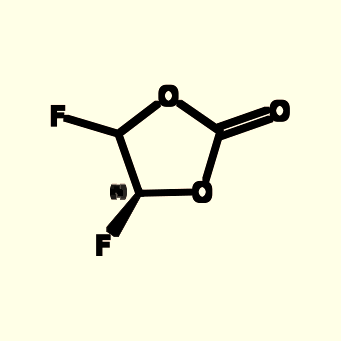 O=C1OC(F)[C@H](F)O1